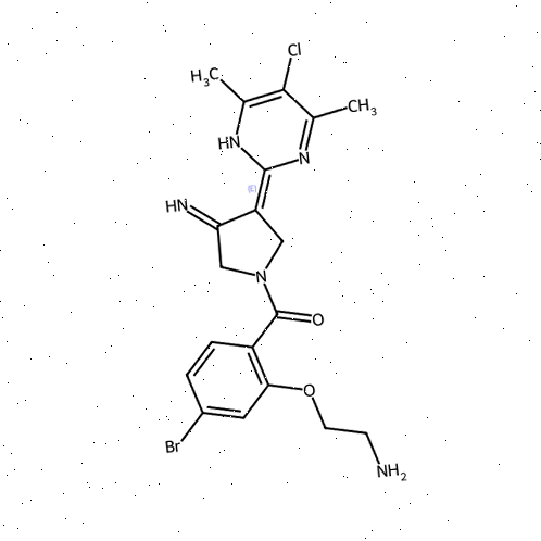 CC1=N/C(=C2\CN(C(=O)c3ccc(Br)cc3OCCN)CC2=N)NC(C)=C1Cl